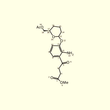 COC(=O)CCC(=O)c1cccc(OC2CCC[C@H](COC(C)=O)O2)c1N